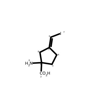 NC1(C(=O)O)CCC(=CI)C1